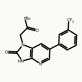 CC(C)(C)C(=O)Cn1c(=O)[nH]c2ncc(-c3cccc(C(F)(F)F)c3)cc21